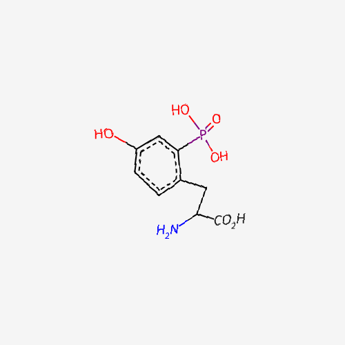 NC(Cc1ccc(O)cc1P(=O)(O)O)C(=O)O